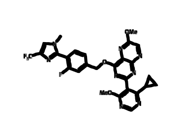 COc1cnc2nc(-c3c(OC)ncnc3C3CC3)nc(OCc3ccc(-c4nc(C(F)(F)F)cn4C)c(F)c3)c2n1